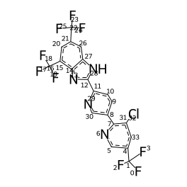 FC(F)(F)c1cnc(-c2ccc(-c3nc4c(C(F)(F)F)cc(C(F)(F)F)cc4[nH]3)nc2)c(Cl)c1